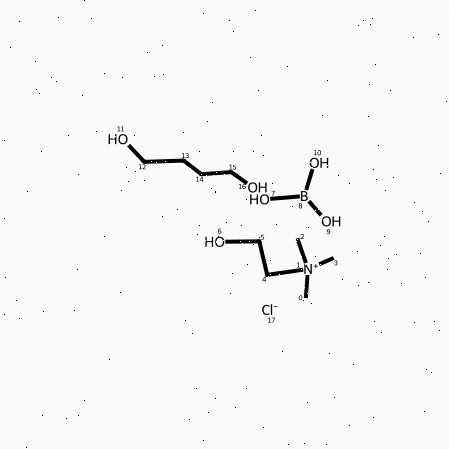 C[N+](C)(C)CCO.OB(O)O.OCCCCO.[Cl-]